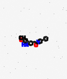 COc1ccc2c3c([nH]c2c1)CCC(CC(=O)N1CC=C(c2ccccc2)CC1)C3